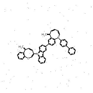 C=C1/C=C\C(n2c3ccccc3c3cc(-c4ccc5c(c4)C(=C)/C=C\C=C/N5c4ccc(-c5ccccc5)cc4)ccc32)=C/Oc2ccccc21